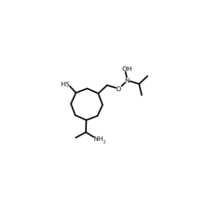 CC(N)C1CCC(S)CC(CON(O)C(C)C)CC1